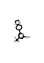 Oc1cc(C(F)(F)F)cc(C2CCC3(CC2)OCCO3)n1